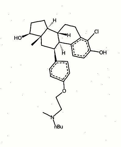 CCCCN(C)CCOc1ccc([C@H]2C[C@]3(C)[C@@H](O)CC[C@H]3[C@@H]3CCc4c(ccc(O)c4Cl)[C@H]32)cc1